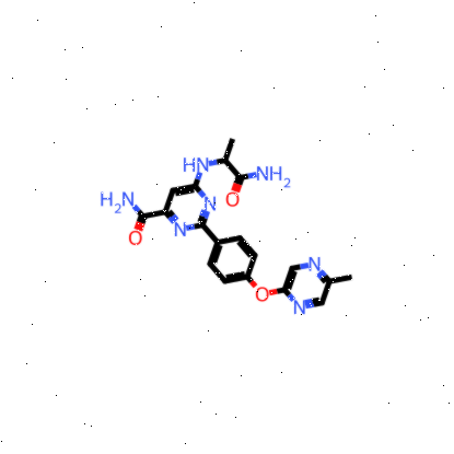 Cc1cnc(Oc2ccc(-c3nc(NC(C)C(N)=O)cc(C(N)=O)n3)cc2)cn1